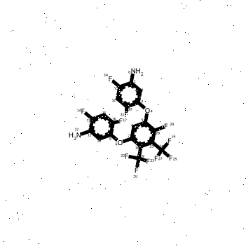 Nc1cc(Oc2cc(Oc3cc(N)c(F)cc3F)c(C(F)(F)F)c(C(F)(F)F)c2F)c(F)cc1F